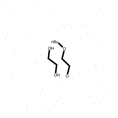 CCCCOCC[O].OCCO